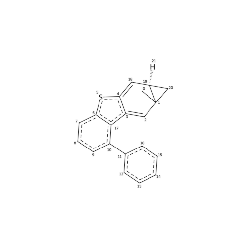 CC12C=c3c(sc4cccc(-c5ccccc5)c34)=C[C@H]1C2